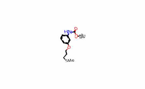 CSCCCOc1cccc(NC(=O)OC(C)(C)C)c1